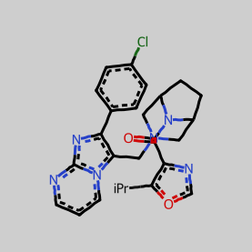 CC(C)c1ocnc1C(=O)N1C2CCC1CN(Cc1c(-c3ccc(Cl)cc3)nc3ncccn13)C2